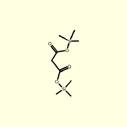 C[Si](C)(C)OC(=O)CC(=O)O[Si](C)(C)C